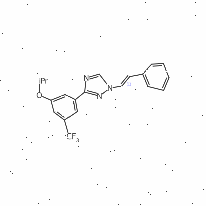 CC(C)Oc1cc(-c2ncn(/C=C/c3ccccc3)n2)cc(C(F)(F)F)c1